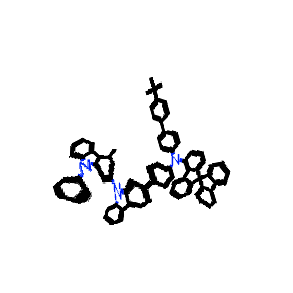 CC1C=C(n2c3ccccc3c3ccc(-c4ccc(N(c5ccc(-c6ccc(C(C)(C)C)cc6)cc5)c5cccc6c5-c5ccccc5C65c6ccccc6-c6ccccc65)cc4)cc32)C=C2C1c1ccccc1N2c1ccccc1